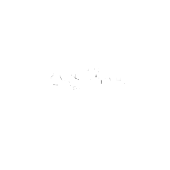 COC(=O)[C@H](N)CCc1nc(-c2ccccc2)no1.Cl